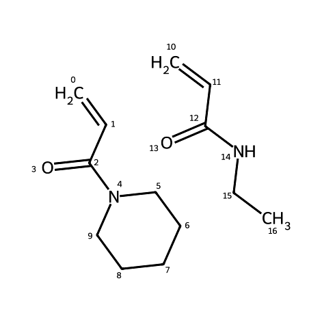 C=CC(=O)N1CCCCC1.C=CC(=O)NCC